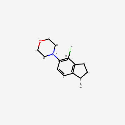 C[C@H]1CCc2c1ccc(N1CCOCC1)c2F